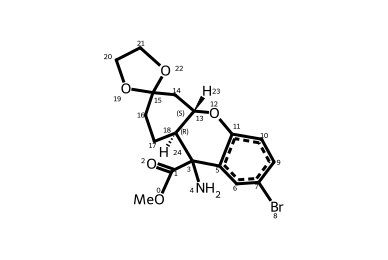 COC(=O)C1(N)c2cc(Br)ccc2O[C@H]2CC3(CC[C@@H]21)OCCO3